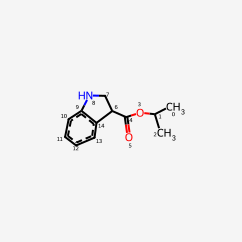 CC(C)OC(=O)C1CNc2ccccc21